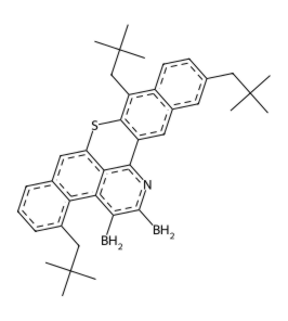 Bc1nc2c3c(cc4cccc(CC(C)(C)C)c4c3c1B)Sc1c-2cc2cc(CC(C)(C)C)ccc2c1CC(C)(C)C